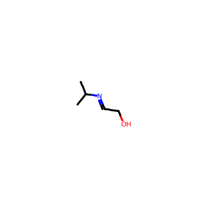 CC(C)N=CCO